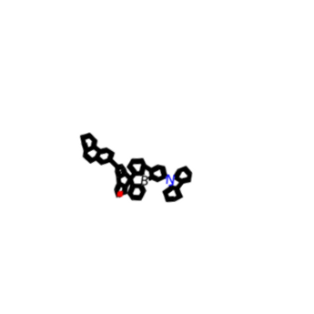 c1ccc2c(c1)B1c3cc(-n4c5ccccc5c5ccccc54)ccc3-c3cccc(c31)C21c2ccccc2-c2cc(-c3ccc4c(ccc5ccccc54)c3)ccc21